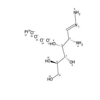 NN=C[C@H](N)[C@@H](O)[C@H](O)[C@H](O)CO.[Cl-].[Cl-].[Cl-].[Cl-].[Pt+4]